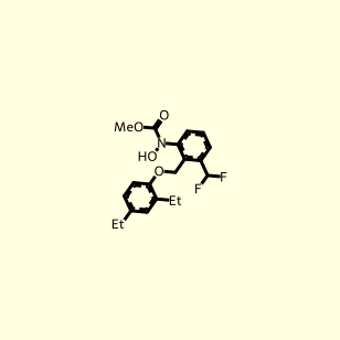 CCc1ccc(OCc2c(C(F)F)cccc2N(O)C(=O)OC)c(CC)c1